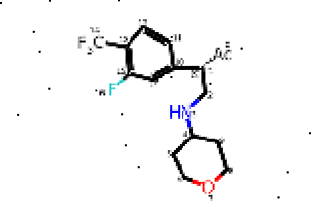 CC(=O)[C@H](CNC1CCOCC1)c1ccc(C(F)(F)F)c(F)c1